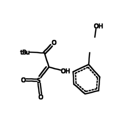 CC(C)(C)C(=O)C(O)=S(=O)=O.CO.Cc1ccccc1